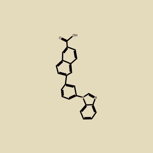 O=C(O)c1ccc2cc(-c3cccc(-n4cnc5ccccc54)c3)ccc2c1